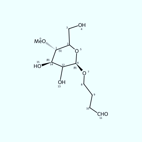 CO[C@@H]1C(CO)O[C@@H](OCCCC=O)C(O)[C@H]1O